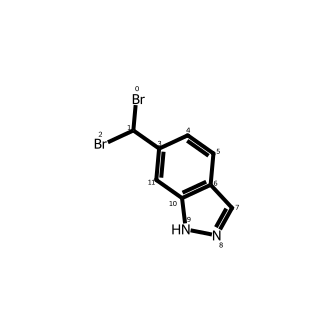 BrC(Br)c1ccc2cn[nH]c2c1